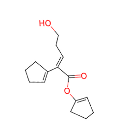 O=C(OC1=CCCC1)C(=CCCO)C1=CCCC1